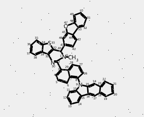 CN1C(c2cccc3c(-n4c5ccccc5c5cc6ccccc6cc54)cccc23)=Nc2c(sc3ccccc23)C1c1ccc2c(c1)oc1ccccc12